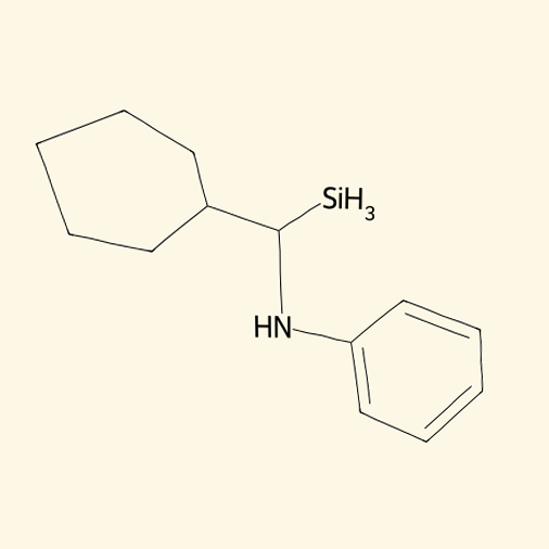 [SiH3]C(Nc1ccccc1)C1CCCCC1